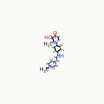 Cc1c(O)c(=O)ccn1-c1ccc(NCCN2CCN(C)CC2)cc1